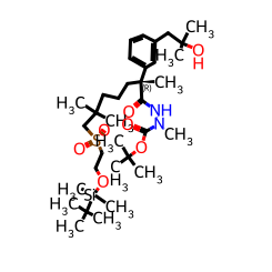 CN(NC(=O)[C@](C)(CCCC(C)(C)CS(=O)(=O)CCO[Si](C)(C)C(C)(C)C)c1cccc(CC(C)(C)O)c1)C(=O)OC(C)(C)C